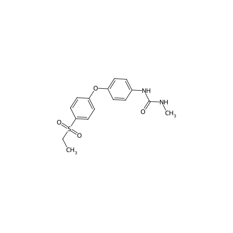 CCS(=O)(=O)c1ccc(Oc2ccc(NC(=O)NC)cc2)cc1